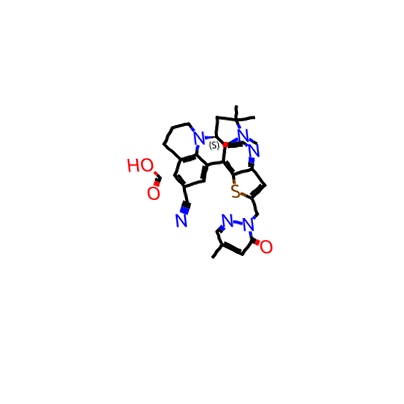 Cc1cnn(Cc2cc3nccc(-c4cc(C#N)cc5c4N([C@@H]4CN(C)C(C)(C)C4)CCC5)c3s2)c(=O)c1.O=CO